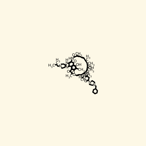 CO[C@H]1/C=C/OC2(C)Oc3c(C)c(O)c4c(c3C2=O)C2=NC3(CCN(CC(C)C)CC3)NC2=C(NC(=O)/C(C)=C\C=C\C(C)C[C@@H](C)C(O)[C@@H](C)C(OC(=O)CC(=O)N2CCN(CC3CCCCC3)CC2)[C@@H]1C)C4=O